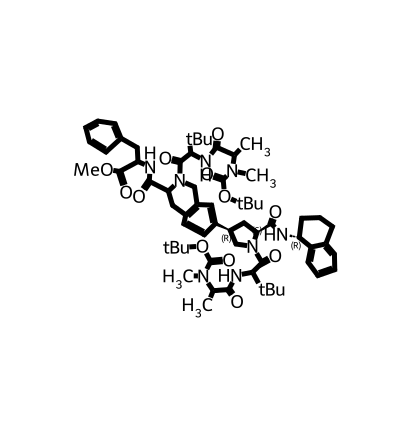 COC(=O)C(Cc1ccccc1)NC(=O)C1Cc2ccc([C@H]3C[C@@H](C(=O)N[C@@H]4CCCc5ccccc54)N(C(=O)C(NC(=O)C(C)N(C)C(=O)OC(C)(C)C)C(C)(C)C)C3)cc2CN1C(=O)C(NC(=O)C(C)N(C)C(=O)OC(C)(C)C)C(C)(C)C